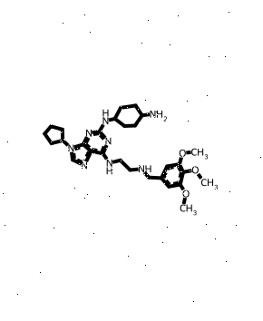 COc1cc(CNCCNc2nc(NC3CCC(N)CC3)nc3c2ncn3C2CCCC2)cc(OC)c1OC